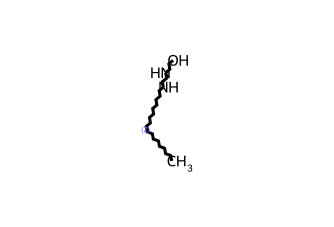 CCCCCCCC/C=C\CCCCCCCCNCCNCCO